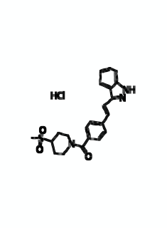 CS(=O)(=O)C1CCN(C(=O)c2ccc(C=Cc3n[nH]c4ccccc34)cc2)CC1.Cl